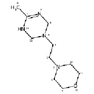 CC1=NCN(CCN2CCOCC2)CN1